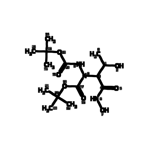 CC(O)C(C(=O)NO)N(NC(=O)OC(C)(C)C)C(=O)OC(C)(C)C